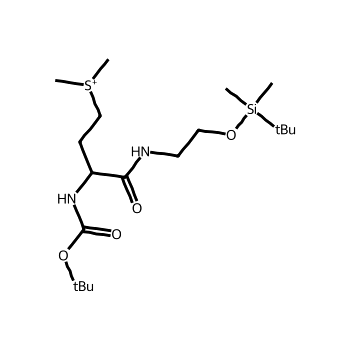 C[S+](C)CCC(NC(=O)OC(C)(C)C)C(=O)NCCO[Si](C)(C)C(C)(C)C